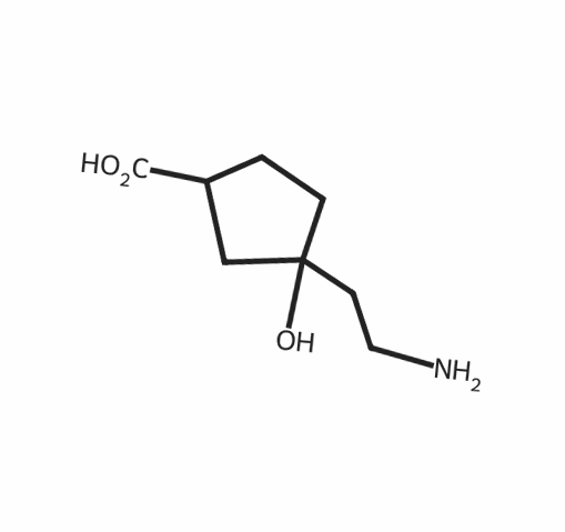 NCCC1(O)CCC(C(=O)O)C1